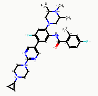 CC1CN(c2cc(F)c(-c3cnc(N4CCN(C5CC5)CC4)nc3)cc2NC(=O)c2ccc(F)cc2C(F)(F)F)CC(C)N1C